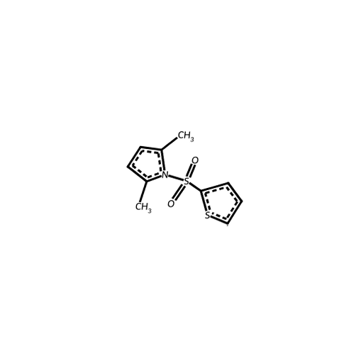 Cc1ccc(C)n1S(=O)(=O)c1cc[c]s1